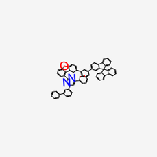 c1ccc(-c2cccc(-c3cc(-c4ccccc4)nc(-c4cccc5oc6ccc(-c7cccc(-c8ccc9c(c8)C8(c%10ccccc%10-c%10ccccc%108)c8ccccc8-9)c7)cc6c45)n3)c2)cc1